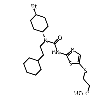 CC[C@H]1CC[C@H](N(CCC2CCCCC2)C(=O)Nc2ncc(SCCC(=O)O)s2)CC1